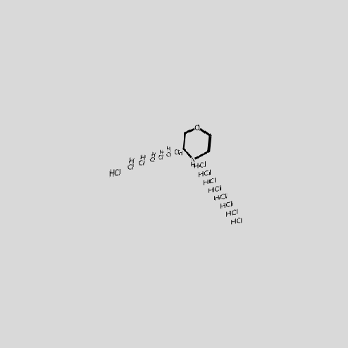 C1COCCN1.Cl.Cl.Cl.Cl.Cl.Cl.Cl.Cl.Cl.Cl.Cl.Cl.Cl.Cl.Cl